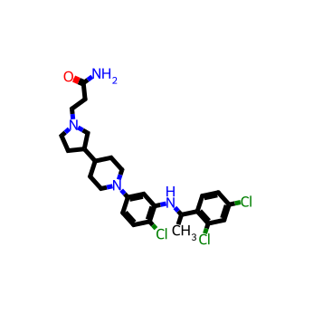 CC(Nc1cc(N2CCC(C3CCN(CCC(N)=O)C3)CC2)ccc1Cl)c1ccc(Cl)cc1Cl